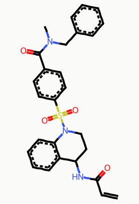 C=CC(=O)NC1CCN(S(=O)(=O)c2ccc(C(=O)N(C)Cc3ccccc3)cc2)c2ccccc21